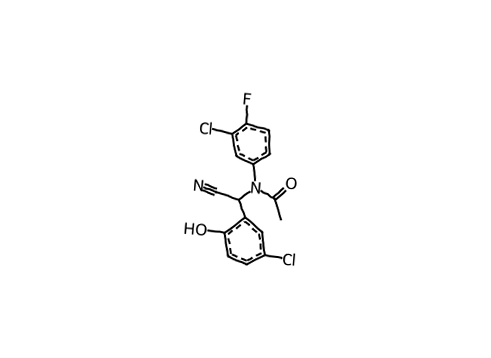 CC(=O)N(c1ccc(F)c(Cl)c1)C(C#N)c1cc(Cl)ccc1O